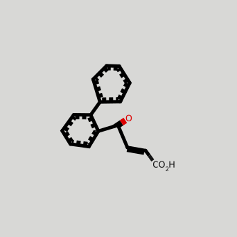 O=C(O)C=CC(=O)c1ccccc1-c1ccccc1